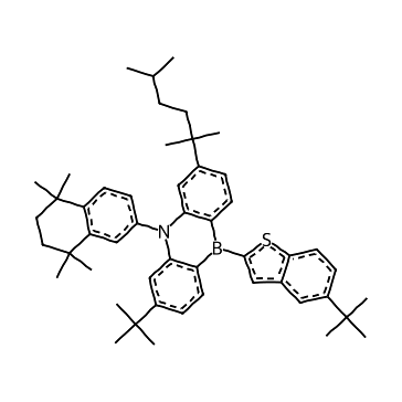 CC(C)CCC(C)(C)c1ccc2c(c1)N(c1ccc3c(c1)C(C)(C)CCC3(C)C)c1cc(C(C)(C)C)ccc1B2c1cc2cc(C(C)(C)C)ccc2s1